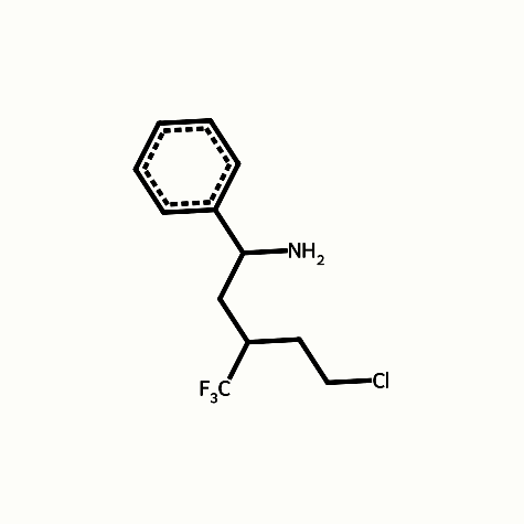 NC(CC(CCCl)C(F)(F)F)c1ccccc1